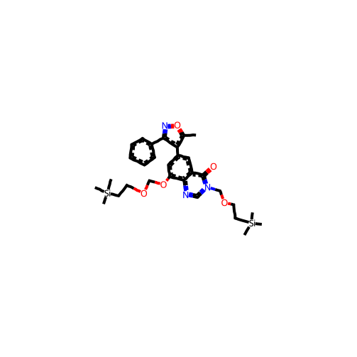 Cc1onc(-c2ccccc2)c1-c1cc(OCOCC[Si](C)(C)C)c2ncn(COCC[Si](C)(C)C)c(=O)c2c1